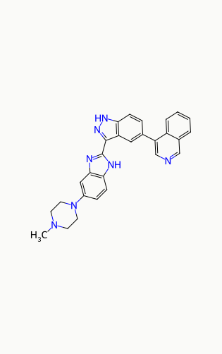 CN1CCN(c2ccc3[nH]c(-c4n[nH]c5ccc(-c6cncc7ccccc67)cc45)nc3c2)CC1